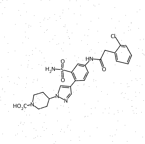 NS(=O)(=O)c1cc(NC(=O)Cc2ccccc2Cl)ccc1-c1cnn(C2CCN(C(=O)O)CC2)c1